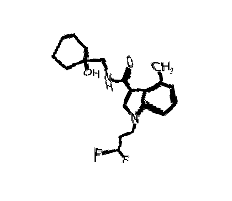 Cc1cccc2c1c(C(=O)NCC1(O)CCCCC1)cn2CCC(F)F